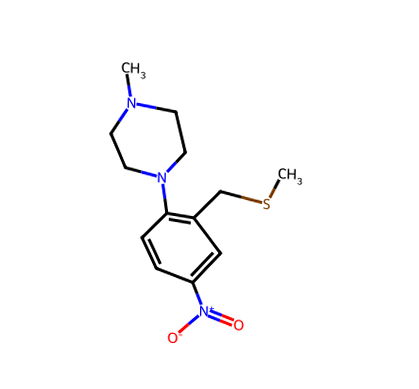 CSCc1cc([N+](=O)[O-])ccc1N1CCN(C)CC1